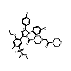 CCOc1cc(C)c(S(=O)(=O)N(C)OC)cc1C1=N[C@@H](c2ccc(Cl)cc2)[C@@H](c2ccc(Cl)cc2)N1C(=O)N1CCN(CC(=O)N2CCOCC2)CC1